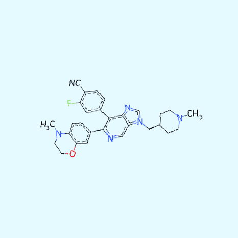 CN1CCC(Cn2cnc3c(-c4ccc(C#N)c(F)c4)c(-c4ccc5c(c4)OCCN5C)ncc32)CC1